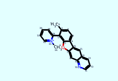 Cc1ccc2c(oc3cc4ncccc4cc32)c1-c1cccc[n+]1C